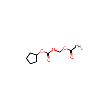 CC(=O)OCOC(=O)OC1CCCC1